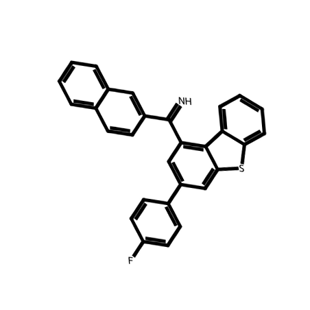 N=C(c1ccc2ccccc2c1)c1cc(-c2ccc(F)cc2)cc2sc3ccccc3c12